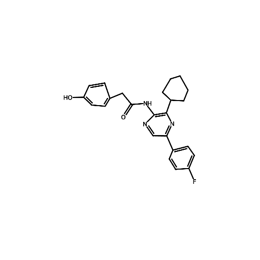 O=C(Cc1ccc(O)cc1)Nc1ncc(-c2ccc(F)cc2)nc1C1CCCCC1